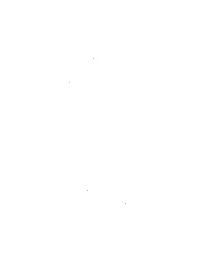 c1cc(-c2cncnc2)cc(-c2cncnc2)c1